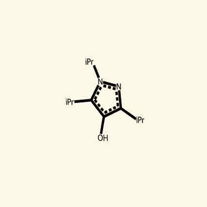 CC(C)c1nn(C(C)C)c(C(C)C)c1O